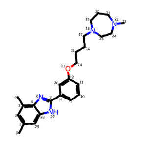 Cc1cc(C)c2nc(-c3cccc(OCCCCN4CCCN(C)CC4)c3)[nH]c2c1